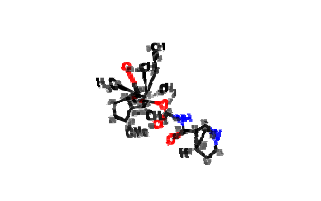 C#CC[C@]1(C)C[C@@H](OC(=O)NC(=O)[C@H]2CN3CC[C@@H]2C3)[C@@]2(C)C3[C@H](OC)CCC3(CC[C@H]2C)[C@@H](C)C1=O